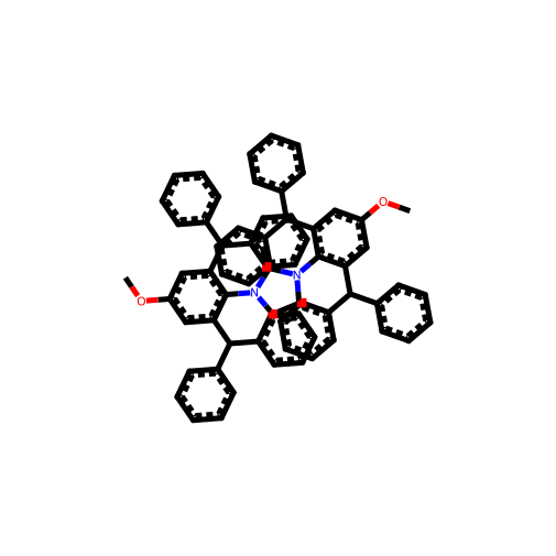 COc1cc(C(c2ccccc2)c2ccccc2)c(N2CCN(c3c(C(c4ccccc4)c4ccccc4)cc(OC)cc3C(c3ccccc3)c3ccccc3)C2)c(C(c2ccccc2)c2ccccc2)c1